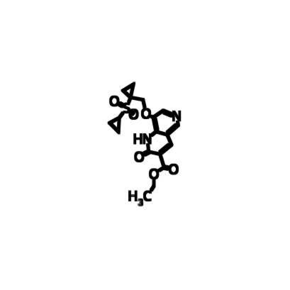 CCOC(=O)c1cc2cncc(OCC3(S(=O)(=O)C4CC4)CC3)c2[nH]c1=O